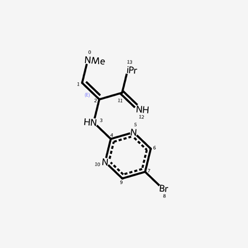 CN/C=C(/Nc1ncc(Br)cn1)C(=N)C(C)C